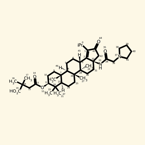 CC(C)C1=C2[C@H]3CC[C@@H]4[C@@]5(C)CC[C@H](OC(=O)CC(C)(C)C(=O)O)C(C)(C)[C@@H]5CC[C@@]4(C)[C@]3(C)CC[C@@]2(NC(=O)CN2CCCC2)CC1=O